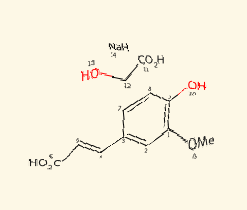 COc1cc(C=CC(=O)O)ccc1O.O=C(O)CO.[NaH]